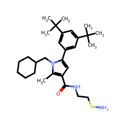 Cc1c(C(=O)NCCSN)cc(-c2cc(C(C)(C)C)cc(C(C)(C)C)c2)n1CC1CCCCC1